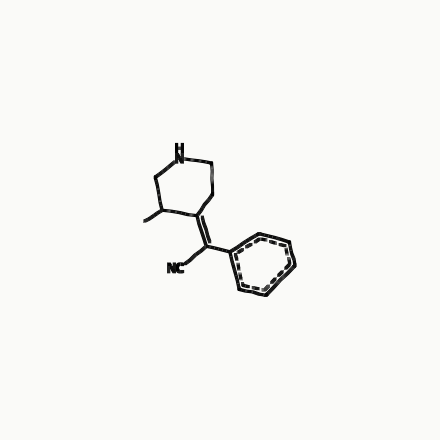 CC1CNCC/C1=C(/C#N)c1ccccc1